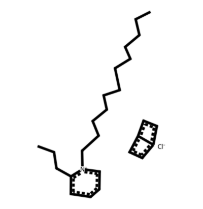 CCCCCCCCCCCC[n+]1ccccc1CCC.[Cl-].c1cc2ccc1-2